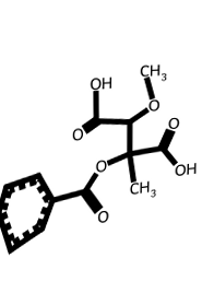 COC(C(=O)O)C(C)(OC(=O)c1ccccc1)C(=O)O